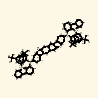 CC(C)(C)c1cc(-n2c3ccccc3c3cccc(N(c4ccccc4)c4ccc5c(c4)sc4cc6cc7c(cc6cc45)sc4cc(N(c5ccccc5)c5cccc6c8ccccc8n(-c8cc(C(C)(C)C)cc(C(C)(C)C)c8)c56)ccc47)c32)cc(C(C)(C)C)c1